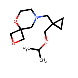 CC(C)OCC1(CN2CCOC3(COC3)C2)CC1